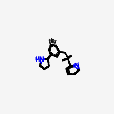 CC(C)(C)c1cc(CC(C)(C)c2ccccn2)cc(C2CCCN2)c1